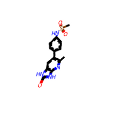 Cc1nc2[nH]c(=O)[nH]c2cc1-c1ccc(NS(C)(=O)=O)cc1